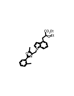 CCOC(=O)C(Cc1cccc2c1ccn2Cc1nc(-c2ccccc2C)oc1C)OCC